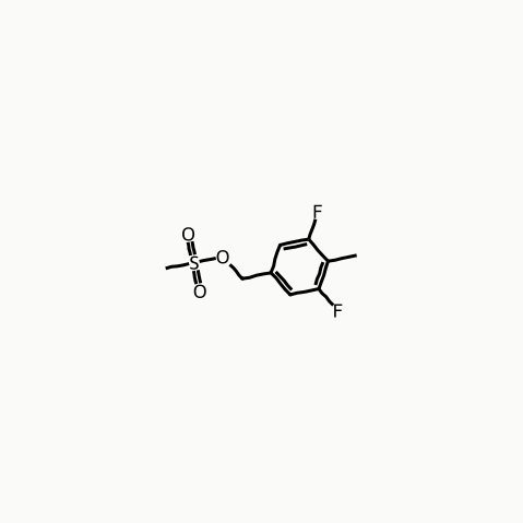 Cc1c(F)cc(COS(C)(=O)=O)cc1F